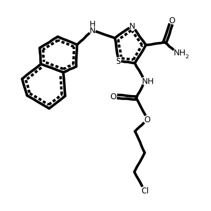 NC(=O)c1nc(Nc2ccc3ccccc3c2)sc1NC(=O)OCCCCl